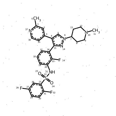 Cc1cc(-c2cn(C3CCN(C)CC3)nc2-c2cccc(NS(=O)(=O)c3cc(F)ccc3F)c2F)ccn1